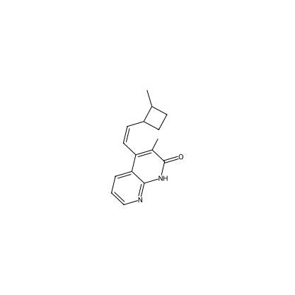 Cc1c(/C=C\C2CCC2C)c2cccnc2[nH]c1=O